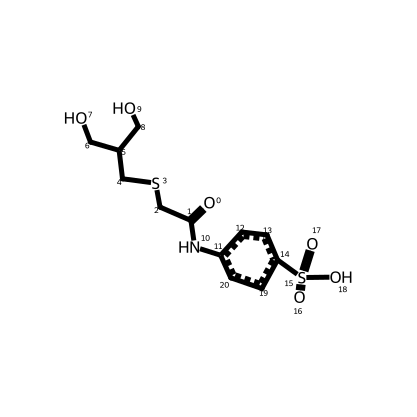 O=C(CSCC(CO)CO)Nc1ccc(S(=O)(=O)O)cc1